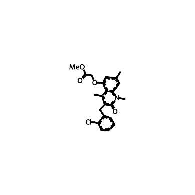 COC(=O)COc1cc(C)cc2c1c(C)c(Cc1ccccc1Cl)c(=O)n2C